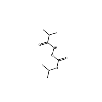 CC(I)OC(=O)ONC(=O)C(C)C